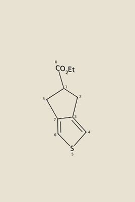 CCOC(=O)C1Cc2cscc2C1